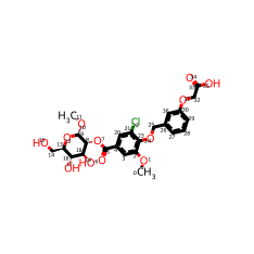 COc1cc(C(=O)O[C@H]2[C@@H](OC)O[C@H](CO)[C@@H](O)[C@@H]2O)cc(Cl)c1OCc1cccc(OCC(=O)O)c1